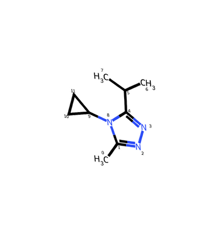 Cc1nnc(C(C)C)n1C1CC1